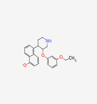 CCOc1cccc(OC2CNCCC2c2cccc3c([O])cccc23)c1